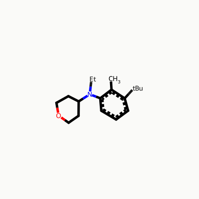 CCN(c1cccc(C(C)(C)C)c1C)C1CCOCC1